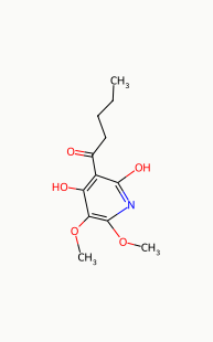 CCCCC(=O)c1c(O)nc(OC)c(OC)c1O